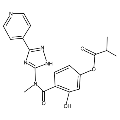 CC(C)C(=O)Oc1ccc(C(=O)N(C)c2nc(-c3ccncc3)n[nH]2)c(O)c1